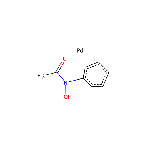 O=C(N(O)c1ccccc1)C(F)(F)F.[Pd]